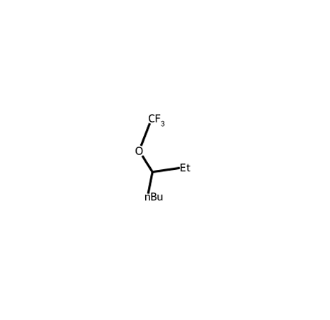 CCCCC(CC)OC(F)(F)F